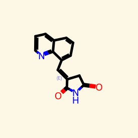 O=C1C/C(=C\c2cccc3cccnc23)C(=O)N1